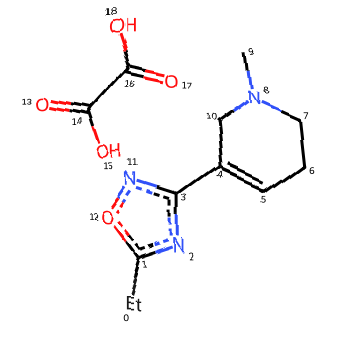 CCc1nc(C2=CCCN(C)C2)no1.O=C(O)C(=O)O